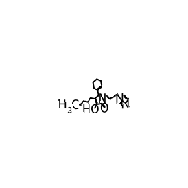 CCCCCC1=C(O)C(=O)N(CCCn2ccnc2)C1C1=CCCCC1